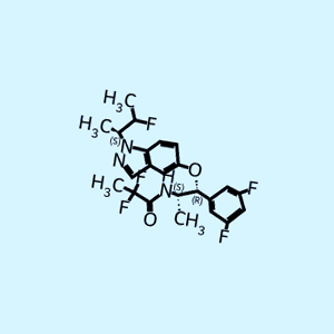 CC(F)[C@H](C)n1ncc2cc(O[C@H](c3cc(F)cc(F)c3)[C@H](C)NC(=O)C(C)(F)F)ccc21